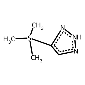 CS(C)(C)c1cn[nH]n1